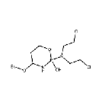 CCOC1CCO[P](O)(N(CCCl)CCCl)N1